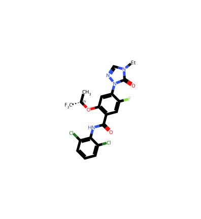 CCn1cnn(-c2cc(O[C@@H](C)C(F)(F)F)c(C(=O)Nc3c(Cl)cccc3Cl)cc2F)c1=O